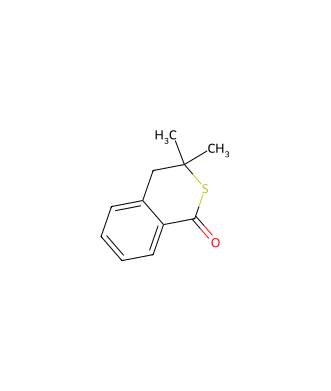 CC1(C)Cc2ccccc2C(=O)S1